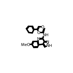 COc1ccc2c(c1)nc(NC1=COC=C(C3=CC=CCC3)O1)c1n[nH]cc12